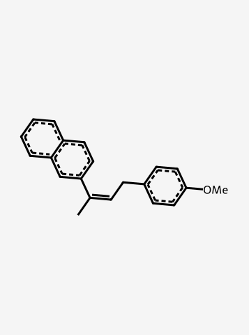 COc1ccc(C/C=C(/C)c2ccc3ccccc3c2)cc1